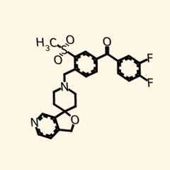 CS(=O)(=O)c1cc(C(=O)c2ccc(F)c(F)c2)ccc1CN1CCC2(CC1)OCc1ccncc12